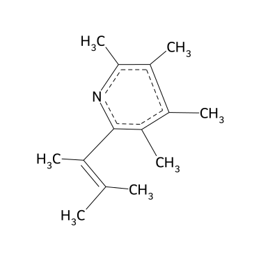 CC(C)=C(C)c1nc(C)c(C)c(C)c1C